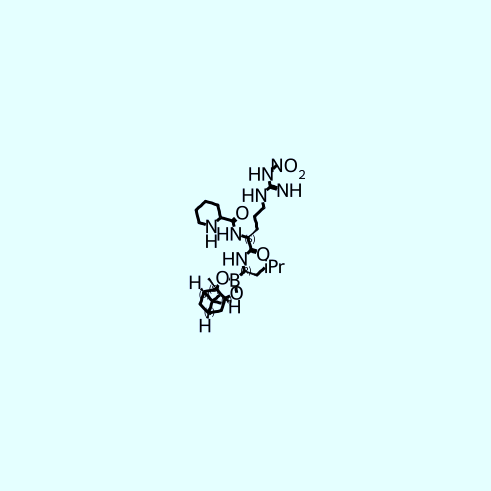 CC(C)C[C@H](NC(=O)[C@H](CCCNC(=N)N[N+](=O)[O-])NC(=O)C1CCCCN1)B1O[C@@H]2C[C@@H]3C[C@@H](C3(C)C)[C@]2(C)O1